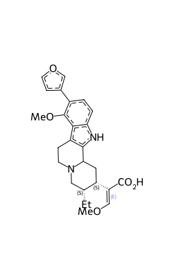 CC[C@@H]1CN2CCc3c([nH]c4ccc(-c5ccoc5)c(OC)c34)C2C[C@@H]1/C(=C\OC)C(=O)O